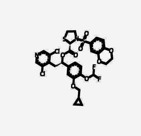 O=C(O[C@@H](Cc1c(Cl)cncc1Cl)c1ccc(OC(F)F)c(OCC2CC2)c1)[C@@H]1SCCN1S(=O)(=O)c1ccc2c(c1)OCCO2